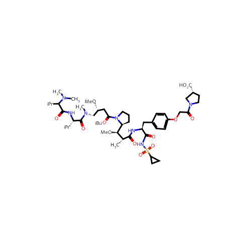 CC[C@H](C)[C@@H]([C@@H](CC(=O)N1CCC[C@H]1[C@H](OC)[C@@H](C)C(=O)N[C@@H](Cc1ccc(OCC(=O)N2CC[C@@H](C(=O)O)C2)cc1)C(=O)NS(=O)(=O)C1CC1)OC)N(C)C(=O)[C@@H](NC(=O)C(C(C)C)N(C)C)C(C)C